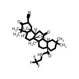 CC1(C)CC[C@]2(C(=O)NCC(F)(F)F)CC[C@]3(C)C(C(=O)C[C@@H]4[C@@]5(C)CC(C#N)C(=O)C(C)(C)[C@@H]5CC[C@]43C)[C@H]2C1